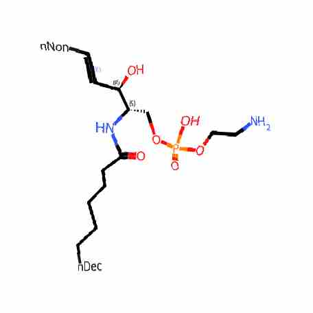 CCCCCCCCC/C=C/[C@@H](O)[C@H](COP(=O)(O)OCCN)NC(=O)CCCCCCCCCCCCCCC